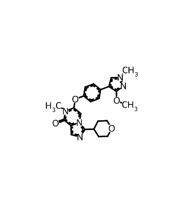 COc1nn(C)cc1-c1ccc(Oc2cn3c(C4CCOCC4)ncc3c(=O)n2C)cc1